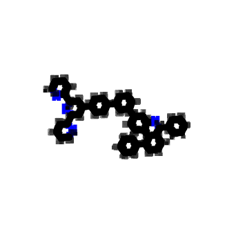 c1ccc(-c2nc3cc(-c4cccc(-c5ccc(-c6cc(-c7ccccn7)nc(-c7ccccn7)c6)cc5)c4)ccc3c3c(-c4ccccc4)cccc23)cc1